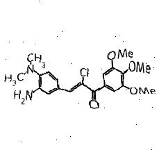 COc1cc(C(=O)C(Cl)=Cc2ccc(N(C)C)c(N)c2)cc(OC)c1OC